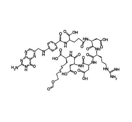 N=C(N)NCCC[C@H](NC(=O)[C@H](CC(=O)O)NC(=O)CCC(NC(=O)c1ccc(NCc2cnc3nc(N)[nH]c(=O)c3n2)cc1)C(=O)O)C(=O)NC(CC(=O)O)C(=O)N[C@@H](CC(=O)O)C(=O)N[C@@H](CSSCCOC=O)C(=O)O